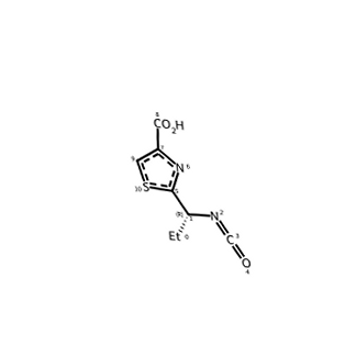 CC[C@@H](N=C=O)c1nc(C(=O)O)cs1